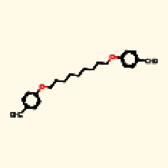 O=Cc1ccc(OCCCCCCCCCOc2ccc(C=O)cc2)cc1